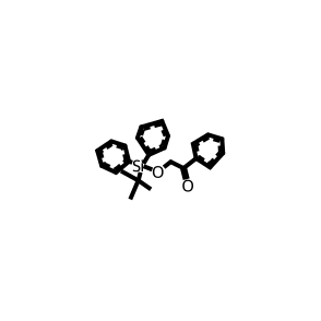 CC(C)(C)[Si](OCC(=O)c1ccccc1)(c1ccccc1)c1ccccc1